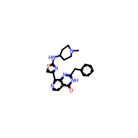 CN1CCC(Nc2nc(-c3nccc4c(=O)[nH]c(Cc5ccccc5)nc34)cs2)CC1